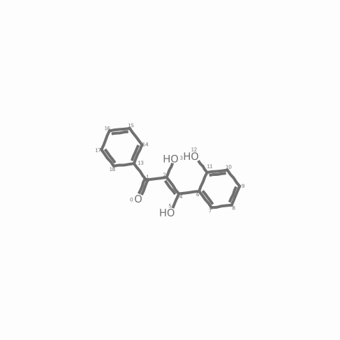 O=C(C(O)=C(O)c1ccccc1O)c1ccccc1